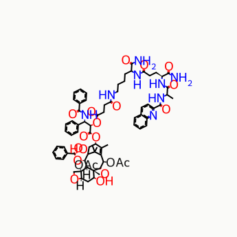 CC(=O)O[C@H]1C(=O)[C@@]2(C)[C@H]([C@H](OC(=O)c3ccccc3)[C@]3(O)C[C@H](OC(=O)[C@H](OC(=O)CCC(=O)NCCCCC(NC(=O)CC[C@H](NC(=O)C(C)NC(=O)c4ccc5ccccc5n4)C(N)=O)C(N)=O)[C@@H](NC(=O)c4ccccc4)c4ccccc4)C(C)=C1C3(C)C)[C@]1(OC(C)=O)CO[C@@H]1C[C@@H]2O